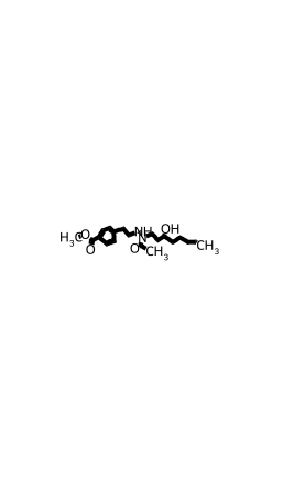 CCCCCC(O)CCN(NCCc1ccc(C(=O)OC)cc1)C(C)=O